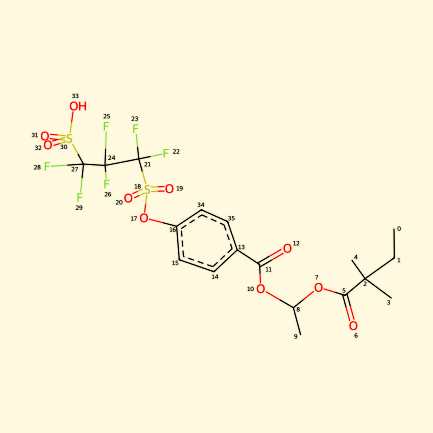 CCC(C)(C)C(=O)OC(C)OC(=O)c1ccc(OS(=O)(=O)C(F)(F)C(F)(F)C(F)(F)S(=O)(=O)O)cc1